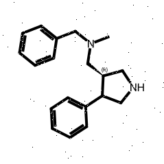 CN(Cc1ccccc1)C[C@H]1CNCC1c1ccccc1